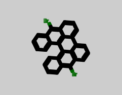 Brc1c2ccccc2c2c3c1cccc3c1cccc3c(Br)c4ccccc4c2c31